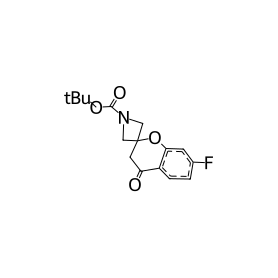 CC(C)(C)OC(=O)N1CC2(CC(=O)c3ccc(F)cc3O2)C1